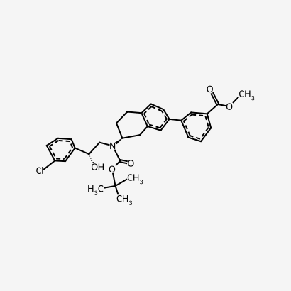 COC(=O)c1cccc(-c2ccc3c(c2)C[C@@H](N(C[C@H](O)c2cccc(Cl)c2)C(=O)OC(C)(C)C)CC3)c1